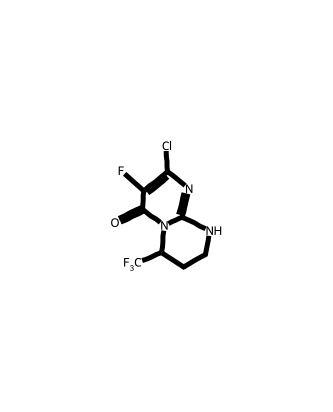 O=c1c(F)c(Cl)nc2n1C(C(F)(F)F)CCN2